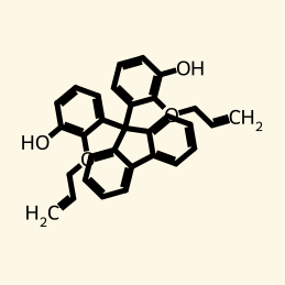 C=CCOc1c(O)cccc1C1(c2cccc(O)c2OCC=C)c2ccccc2-c2ccccc21